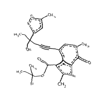 CCC(C)(C)OC(=O)c1c(C)[nH]c2c(=O)n(C)cc(C#CC(C)(O)c3cc(C)on3)c12